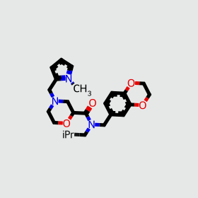 CC(C)CN(Cc1ccc2c(c1)OCCO2)C(=O)C1CN(Cc2cccn2C)CCO1